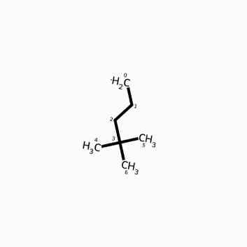 [CH2]CCC(C)(C)C